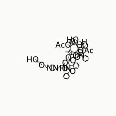 CC(=O)O[C@H]1C(=O)[C@@]2(C)[C@H]([C@H](OC(=O)c3ccccc3)[C@]3(O)C[C@H](OC(=O)[C@H](OC(=O)CCN4CCN(CCOCCO)CC4)[C@@H](NC(=O)c4ccccc4)c4ccccc4)C(C)=C1C3(C)C)[C@]1(OC(C)=O)CO[C@@H]1C[C@@H]2O